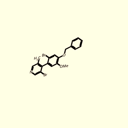 COc1cc(-c2c(C)cncc2Br)c(Br)cc1OCc1ccccc1